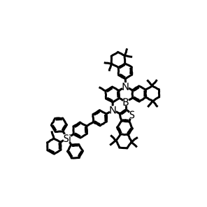 Cc1cc2c3c(c1)N(c1ccc(-c4ccc([Si](C5=CC=CCC5C)(c5ccccc5)c5ccccc5)cc4)cc1)c1c(sc4cc5c(cc14)C(C)(C)CCC5(C)C)B3c1cc3c(cc1N2c1ccc2c(c1)C(C)(C)CCC2(C)C)C(C)(C)CCC3(C)C